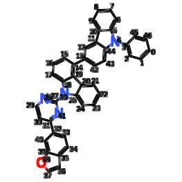 c1ccc(-n2c3ccccc3c3cc(-c4cccc5c4c4ccccc4n5-c4nccc(-c5ccc6ccoc6c5)n4)ccc32)cc1